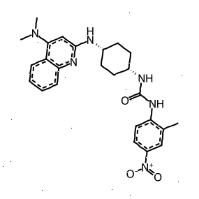 Cc1cc([N+](=O)[O-])ccc1NC(=O)N[C@H]1CC[C@@H](Nc2cc(N(C)C)c3ccccc3n2)CC1